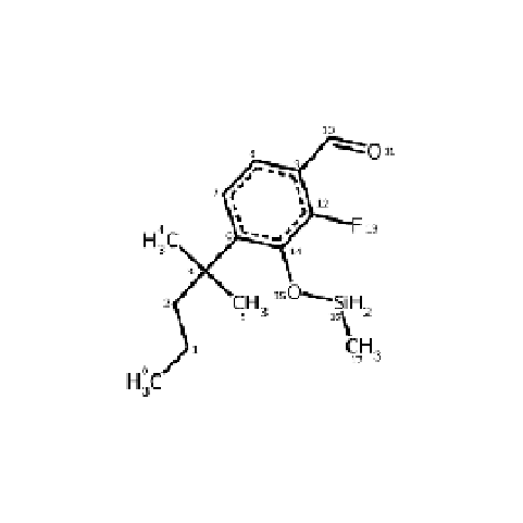 CCCC(C)(C)c1ccc(C=O)c(F)c1O[SiH2]C